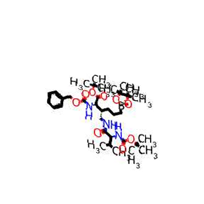 CC(C)[C@H](NC(=O)OC(C)(C)C)C(=O)NC[C@@H](CCCB1OC(C)(C)C(C)(C)O1)[C@H](NC(=O)OCc1ccccc1)C(=O)OC(C)(C)C